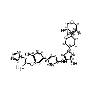 C[C@@H](Cn1cncn1)Oc1cc(-c2cnc(Nc3cn([C@H]4CC[C@H](N5[C@@H]6CC[C@H]5COC6)CC4)nc3O)nc2)ccc1Cl